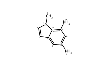 Cn1ccc2cc(N)cc(N)c21